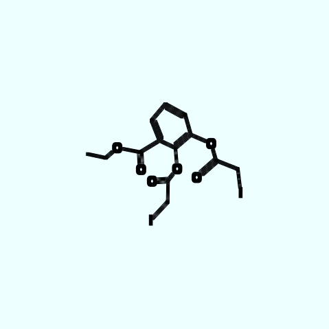 CCOC(=O)c1cccc(OC(=O)CI)c1OC(=O)CI